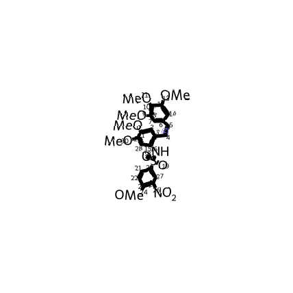 COc1cc(/C=C\c2cc(OC)c(OC)c(OC)c2)c(NS(=O)(=O)c2ccc(OC)c([N+](=O)[O-])c2)cc1OC